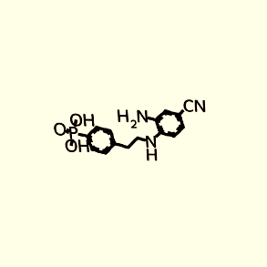 N#Cc1ccc(NCCc2ccc(P(=O)(O)O)cc2)c(N)c1